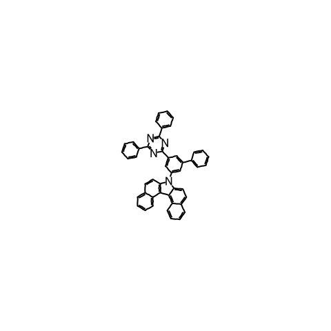 c1ccc(-c2cc(-c3nc(-c4ccccc4)nc(-c4ccccc4)n3)cc(-n3c4ccc5ccccc5c4c4c5ccccc5ccc43)c2)cc1